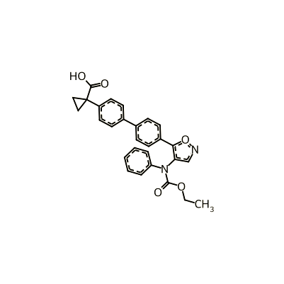 CCOC(=O)N(c1ccccc1)c1cnoc1-c1ccc(-c2ccc(C3(C(=O)O)CC3)cc2)cc1